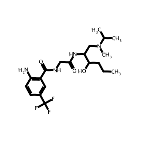 CCCC(O)C(CN(C)C(C)C)NC(=O)CNC(=O)c1cc(C(F)(F)F)ccc1N